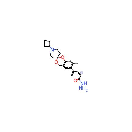 C=C(/C=C\C(=O)NN)c1cc2c(cc1C)OC1(CCN(C3CCC3)CC1)OC2